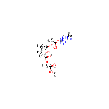 C=C.CC(=O)O.CC(=O)O.CC(=O)O.CC(=O)O.N.N.N.[Fe].[Fe]